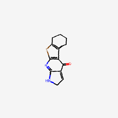 O=C1C2=CCNC2=Nc2sc3c(c21)CCCC3